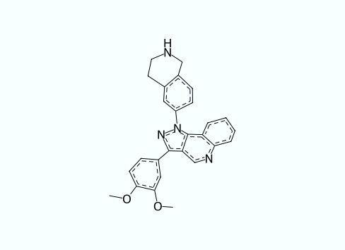 COc1ccc(-c2nn(-c3ccc4c(c3)CCNC4)c3c2cnc2ccccc23)cc1OC